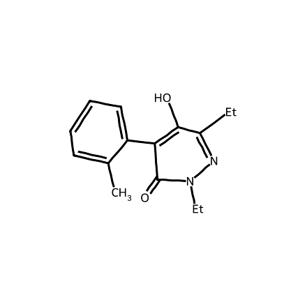 CCc1nn(CC)c(=O)c(-c2ccccc2C)c1O